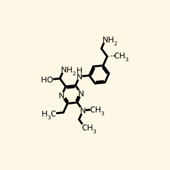 CCc1nc(C(N)O)c(Nc2cccc([C@@H](C)CN)c2)nc1N(C)CC